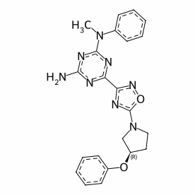 CN(c1ccccc1)c1nc(N)nc(-c2noc(N3CC[C@@H](Oc4ccccc4)C3)n2)n1